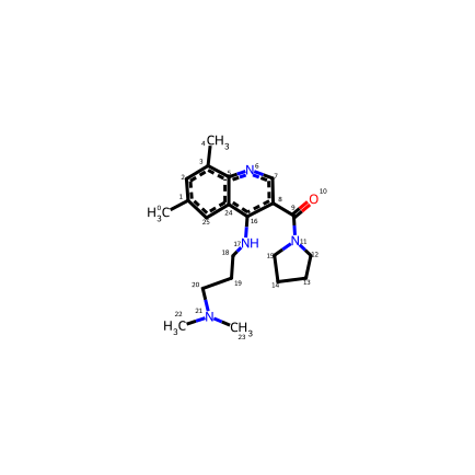 Cc1cc(C)c2ncc(C(=O)N3CCCC3)c(NCCCN(C)C)c2c1